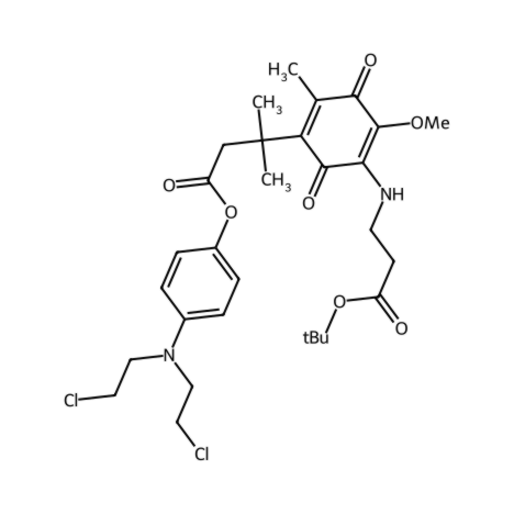 COC1=C(NCCC(=O)OC(C)(C)C)C(=O)C(C(C)(C)CC(=O)Oc2ccc(N(CCCl)CCCl)cc2)=C(C)C1=O